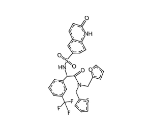 O=C(C(NS(=O)(=O)c1ccc2[nH]c(=O)ccc2c1)c1cccc(C(F)(F)F)c1)N(Cc1ccco1)Cc1cccs1